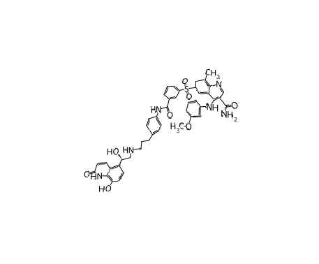 COc1cccc(Nc2c(C(N)=O)cnc3c2=CC(S(=O)(=O)c2cccc(C(=O)Nc4ccc(CCCNC[C@H](O)c5ccc(O)c6[nH]c(=O)ccc56)cc4)c2)CC=3C)c1